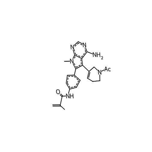 C=C(C)C(=O)Nc1ccc(-c2c(C3=CCCN(C(C)=O)C3)c3c(N)ncnc3n2C)cc1